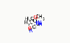 COc1cc(-n2nncc2-c2ccc(-c3ncco3)cc2)cc(C)c1C